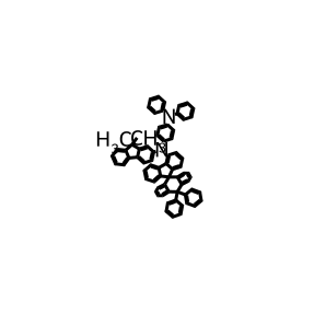 CC1(C)c2ccccc2-c2ccc(N(c3ccc(N(c4ccccc4)c4ccccc4)cc3)c3cccc4c3-c3ccccc3C43c4ccccc4C(c4ccccc4)(c4ccccc4)c4ccccc43)cc21